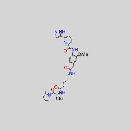 COc1cc(CC(=O)NCCCCC(=O)NC(C(=O)N2CCCC2C)C(C)(C)C)ccc1NC(=O)c1cccc(-c2ccn[nH]2)n1